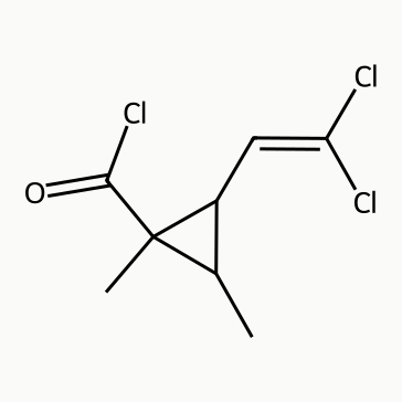 CC1C(C=C(Cl)Cl)C1(C)C(=O)Cl